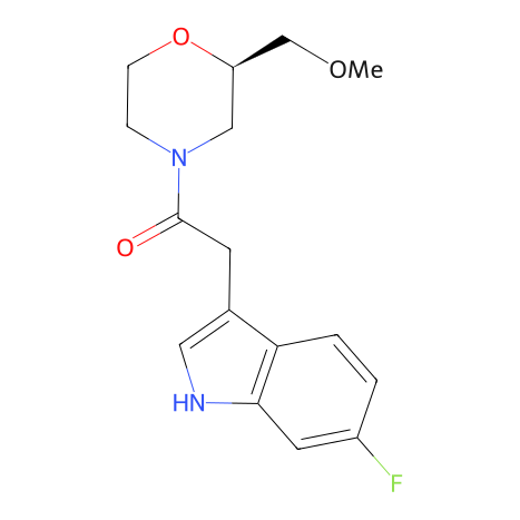 COC[C@H]1CN(C(=O)Cc2c[nH]c3cc(F)ccc23)CCO1